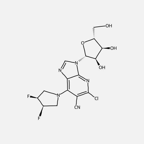 N#Cc1c(Cl)nc2c(ncn2[C@@H]2O[C@H](CO)[C@@H](O)[C@H]2O)c1N1C[C@@H](F)[C@@H](F)C1